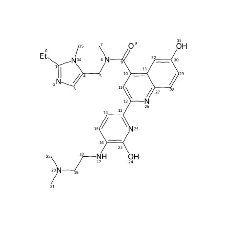 CCc1ncc(CN(C)C(=O)c2cc(-c3ccc(NCCN(C)C)c(O)n3)nc3ccc(O)cc23)n1C